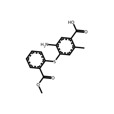 COC(=O)c1ccccc1Sc1cc(C)c(C(=O)O)cc1N